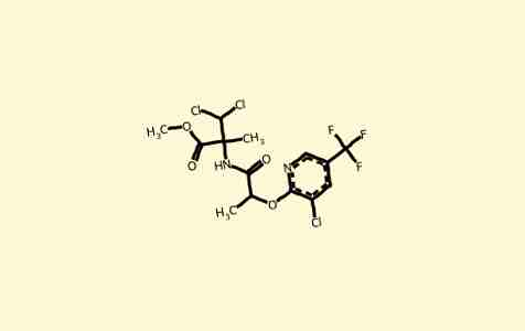 COC(=O)C(C)(NC(=O)C(C)Oc1ncc(C(F)(F)F)cc1Cl)C(Cl)Cl